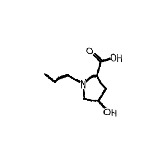 CCCN1CC(O)CC1C(=O)O